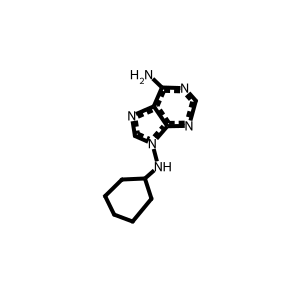 Nc1ncnc2c1ncn2NC1CCCCC1